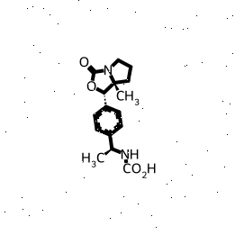 C[C@H](NC(=O)O)c1ccc([C@@H]2OC(=O)N3CCC[C@]23C)cc1